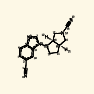 N#Cc1ccc2ncn(N3CC[C@@H]4CN(C#N)C[C@@H]43)c2c1